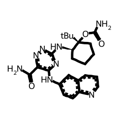 CC(C)(C)[C@@]1(OC(N)=O)CCCC[C@H]1Nc1nnc(C(N)=O)c(Nc2ccc3ncccc3c2)n1